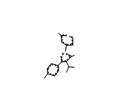 Cc1ccc(-c2nn(-c3cccc(C)c3)c(O)c2C(C)C)cc1